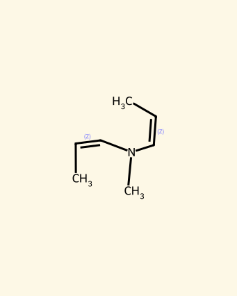 C/C=C\N(C)/C=C\C